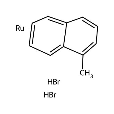 Br.Br.Cc1cccc2ccccc12.[Ru]